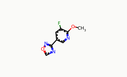 COc1ncc(-c2ncon2)cc1F